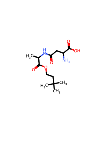 CC(NC(=O)CC(N)C(=O)O)C(=O)OCCC(C)(C)C